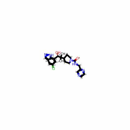 CC(C)(C1CCN(C(=O)NCc2cnccn2)CC1)[C@H](O)c1cc(Cl)cc2cn[nH]c12